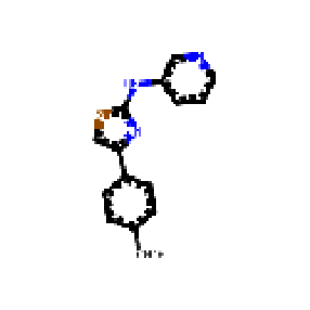 O=[C]c1ccc(-c2csc(Nc3cccnc3)n2)cc1